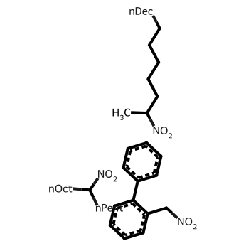 CCCCCCCCC(CCCCC)[N+](=O)[O-].CCCCCCCCCCCCCCCC(C)[N+](=O)[O-].O=[N+]([O-])Cc1ccccc1-c1ccccc1